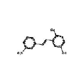 CC(C)(C)c1ccc(O)cc1/C=C/c1cccc([N+](=O)[O-])c1